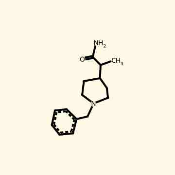 CC(C(N)=O)C1CCN(Cc2ccccc2)CC1